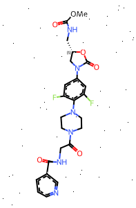 COC(=O)NC[C@H]1CN(c2cc(F)c(N3CCN(C(=O)CNC(=O)c4cccnc4)CC3)c(F)c2)C(=O)O1